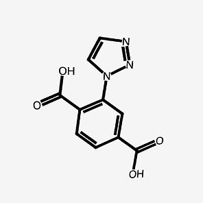 O=C(O)c1ccc(C(=O)O)c(-n2ccnn2)c1